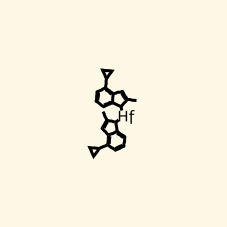 CC1=Cc2c(C3CC3)cccc2[CH]1[Hf][CH]1C(C)=Cc2c(C3CC3)cccc21